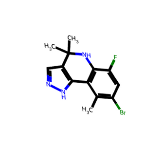 Cc1c(Br)cc(F)c2c1-c1[nH]ncc1C(C)(C)N2